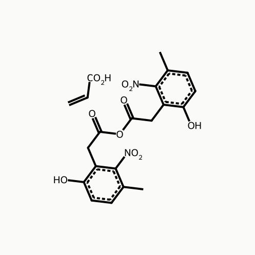 C=CC(=O)O.Cc1ccc(O)c(CC(=O)OC(=O)Cc2c(O)ccc(C)c2[N+](=O)[O-])c1[N+](=O)[O-]